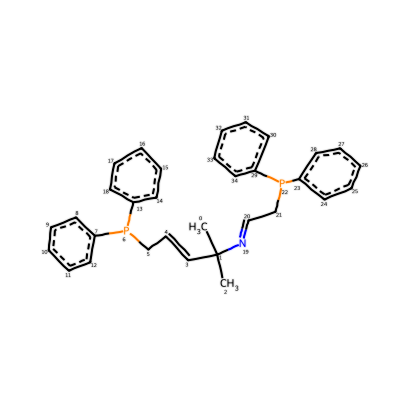 CC(C)(C=CCP(c1ccccc1)c1ccccc1)N=CCP(c1ccccc1)c1ccccc1